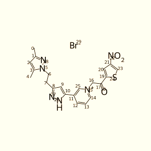 Cc1cc(C)n(CCc2cc(-c3ccc[n+](CC(=O)c4cc([N+](=O)[O-])cs4)c3)[nH]n2)n1.[Br-]